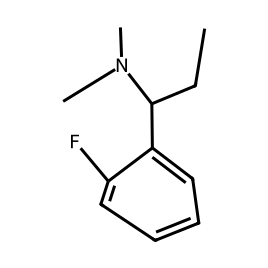 CCC(c1ccccc1F)N(C)C